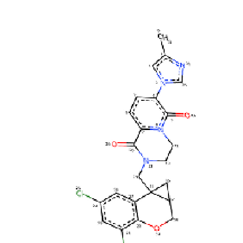 Cc1cn(-c2ccc3n(c2=O)CCN(CC24CC2COc2c(Cl)cc(Cl)cc24)C3=O)cn1